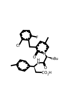 CCCC[C@@H](C(=O)N[C@@H](CC(=O)O)c1ccc(C)cc1)n1cc(C)cc(Cc2c(F)cccc2Cl)c1=O